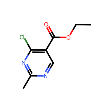 CCOC(=O)c1cnc(C)nc1Cl